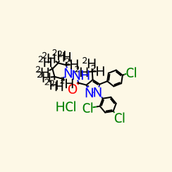 Cl.[2H]C([2H])([2H])c1c(C(=O)NN2C([2H])([2H])C([2H])([2H])C([2H])([2H])C([2H])([2H])C2([2H])[2H])nn(-c2ccc(Cl)cc2Cl)c1-c1ccc(Cl)cc1